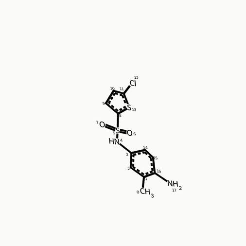 Cc1cc(NS(=O)(=O)c2ccc(Cl)s2)ccc1N